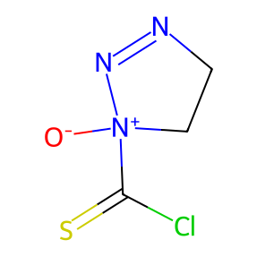 [O-][N+]1(C(=S)Cl)CCN=N1